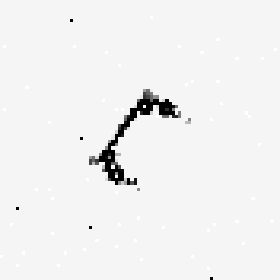 CCc1cc(CCCCCCCCCc2ccc(Cc3ccc(N)cc3)c(CC)c2)ccc1Cc1ccc(N)cc1